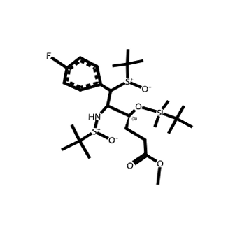 COC(=O)CC[C@H](O[Si](C)(C)C(C)(C)C)C(N[S+]([O-])C(C)(C)C)C(c1ccc(F)cc1)[S+]([O-])C(C)(C)C